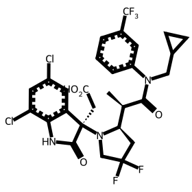 C[C@@H](C(=O)N(CC1CC1)c1cccc(C(F)(F)F)c1)[C@H]1CC(F)(F)CN1[C@@]1(CC(=O)O)C(=O)Nc2c(Cl)cc(Cl)cc21